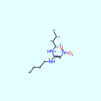 CCCCNC(=C[N+](=O)[O-])NCCCC